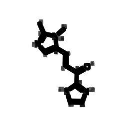 Cc1ncc(C=CC(=O)c2nccs2)n1C